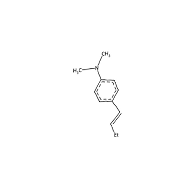 CC/C=C/c1ccc(N(C)C)cc1